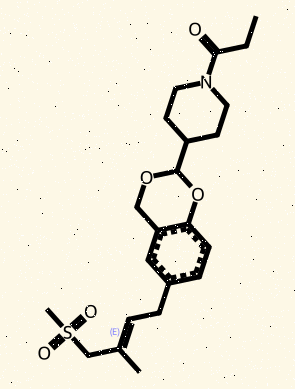 CCC(=O)N1CCC(C2OCc3cc(C/C=C(\C)CS(C)(=O)=O)ccc3O2)CC1